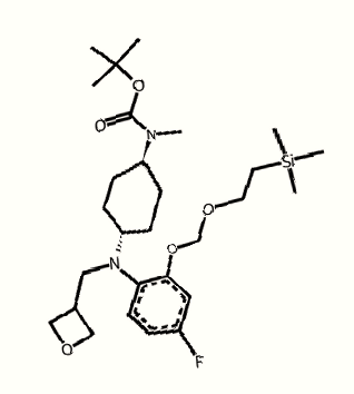 CN(C(=O)OC(C)(C)C)[C@H]1CC[C@H](N(CC2COC2)c2ccc(F)cc2OCOCC[Si](C)(C)C)CC1